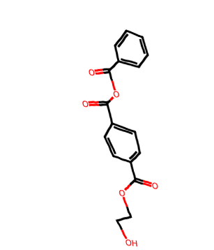 O=C(OCCO)c1ccc(C(=O)OC(=O)c2ccccc2)cc1